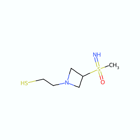 CS(=N)(=O)C1CN(CCS)C1